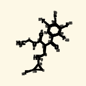 CCOC(=O)C(=CNC1CC1F)C(=O)c1cc(F)c(F)c(F)c1F